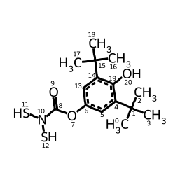 CC(C)(C)c1cc(OC(=O)N(S)S)cc(C(C)(C)C)c1O